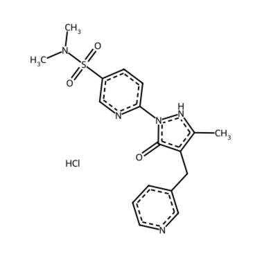 Cc1[nH]n(-c2ccc(S(=O)(=O)N(C)C)cn2)c(=O)c1Cc1cccnc1.Cl